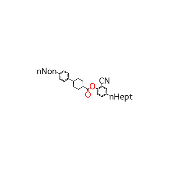 CCCCCCCCCc1ccc(C2CCC(C(=O)Oc3ccc(CCCCCCC)cc3C#N)CC2)cc1